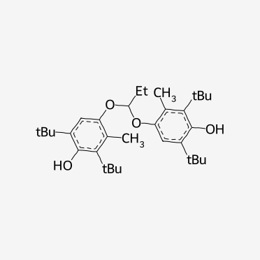 CCC(Oc1cc(C(C)(C)C)c(O)c(C(C)(C)C)c1C)Oc1cc(C(C)(C)C)c(O)c(C(C)(C)C)c1C